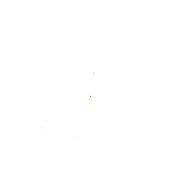 CCCC(OC(=O)N1CC[C@H](Nc2ccc(C(=O)N(C)c3ccccc3)c3ncccc23)C1)C(C)(C)C